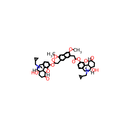 COc1cc2cc(OC)c(CC(=O)Oc3ccc4c5c3O[C@H]3C(=O)CC[C@@]6(O)[C@@H](C4)N(CC4CC4)CC[C@]536)cc2cc1CC(=O)Oc1ccc2c3c1O[C@H]1C(=O)CC[C@@]4(O)[C@@H](C2)N(CC2CC2)CC[C@]314